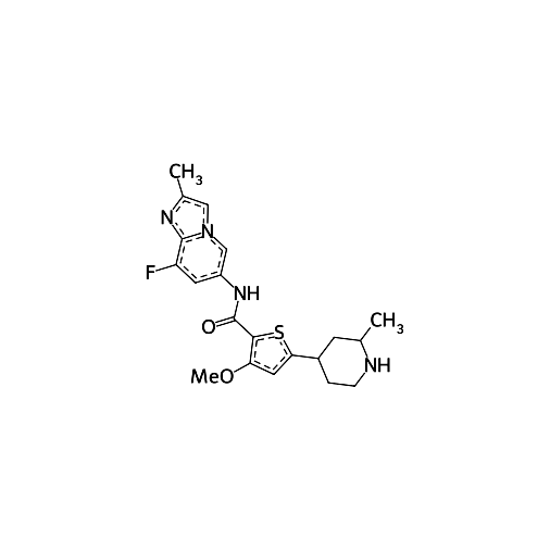 COc1cc(C2CCNC(C)C2)sc1C(=O)Nc1cc(F)c2nc(C)cn2c1